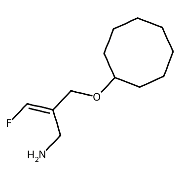 NC/C(=C\F)COC1CCCCCCC1